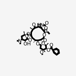 CC[C@H]1OC(=O)[C@H](C)[C@@H](OC2C[C@@](C)(OC)[C@@H](OC(=O)c3ccccc3)[C@H](C)O2)[C@H](C)[C@@H](OC2O[C@H](C)C[C@H](N(C)C)[C@H]2O)[C@@](C)(OC)C[C@@H](C)C(=O)[C@H](C)[C@H]2NC(=O)O[C@@H]21